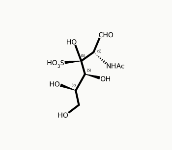 CC(=O)N[C@@H](C=O)[C@@](O)([C@@H](O)[C@H](O)CO)S(=O)(=O)O